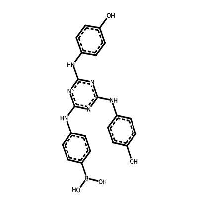 OB(O)c1ccc(Nc2nc(Nc3ccc(O)cc3)nc(Nc3ccc(O)cc3)n2)cc1